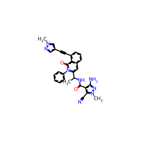 CC(NC(=O)c1c(N)nn(C)c1C#N)c1cc2cccc(C#Cc3cnn(C)c3)c2c(=O)n1-c1ccccc1